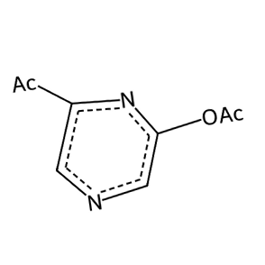 CC(=O)Oc1cncc(C(C)=O)n1